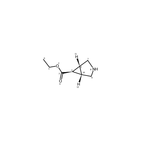 CCOC(=O)[C@H]1[C@@H]2CNC[C@@H]21